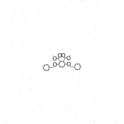 COC(=O)c1c(OCc2ccccc2)ccc(OCc2ccccc2)c1C(=O)OC